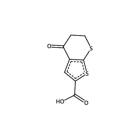 O=C(O)c1cc2c(s1)SCCC2=O